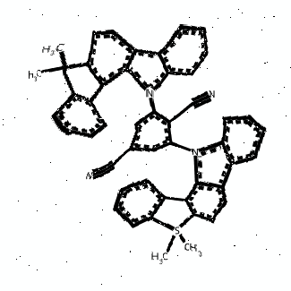 CC1(C)c2ccccc2-c2c1ccc1c3ccccc3n(-c3cc(C#N)cc(-n4c5ccccc5c5ccc6c(c54)-c4ccccc4S6(C)C)c3C#N)c21